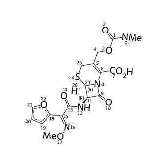 CNC(=O)OCC1=C(C(=O)O)N2C(=O)[C@@H](NC(=O)C(=NOC)c3ccco3)[C@H]2SC1